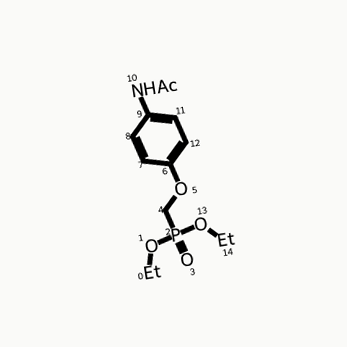 CCOP(=O)(COc1ccc(NC(C)=O)cc1)OCC